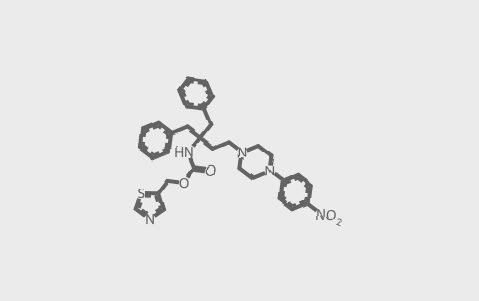 O=C(NC(CCN1CCN(c2ccc([N+](=O)[O-])cc2)CC1)(Cc1ccccc1)Cc1ccccc1)OCc1cncs1